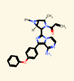 C=CC(=O)N1C(c2nc(-c3ccc(Oc4ccccc4)cc3)c3c(N)nccn23)[C@@H]2C([C@@H]1C)N2C(C)C